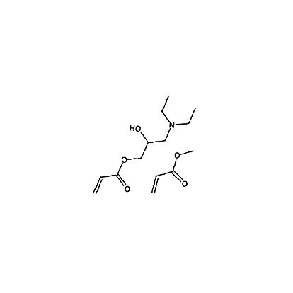 C=CC(=O)OC.C=CC(=O)OCC(O)CN(CC)CC